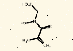 C=C(C)C(=O)N(O)CC(=O)O